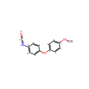 N#COc1ccc(Oc2ccc(N=C=O)cc2)cc1